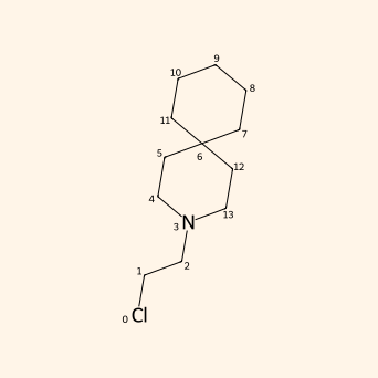 ClCCN1CCC2(CCCCC2)CC1